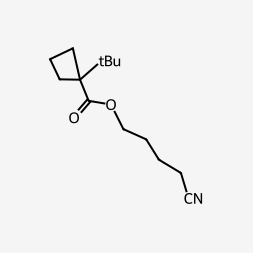 CC(C)(C)C1(C(=O)OCCCCC#N)CCC1